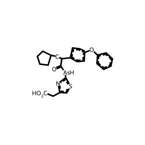 O=C(O)Cc1csc([AsH]C(=O)C(CC2CCCC2)c2ccc(Oc3ccccc3)cc2)n1